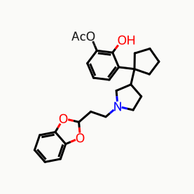 CC(=O)Oc1cccc(C2(C3CCN(CCC4Oc5ccccc5O4)C3)CCCC2)c1O